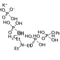 CCN(CC)CC.CO.O=P(O)(O)O.O=P(O)(O)O.O=P(O)(O)O.O=P([O-])(O)O.P.[K+]